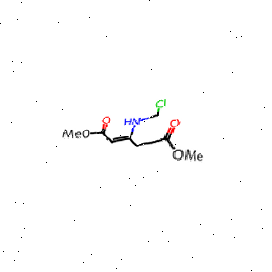 COC(=O)C=C(CC(=O)OC)NCCl